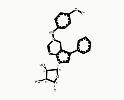 CCOc1ccc(NN2C=Nc3c(c(-c4ccccc4)cn3[C@@H]3O[C@H](C)[C@@H](O)[C@H]3O)C2)cc1